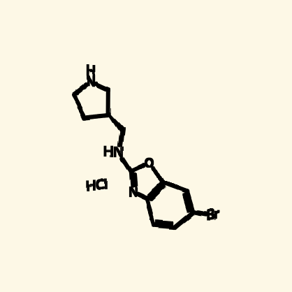 Brc1ccc2nc(NC[C@H]3CCNC3)oc2c1.Cl